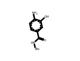 CC(C)(C)NC(=O)c1ccc(N)c(O)c1